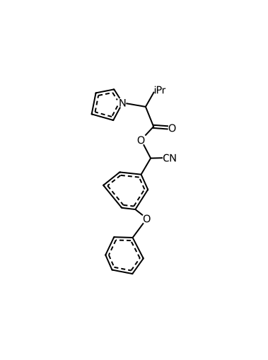 CC(C)C(C(=O)OC(C#N)c1cccc(Oc2ccccc2)c1)n1cccc1